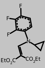 CCOC(=O)C(=CN(c1ccc(F)c(F)c1F)C1CC1)C(=O)OCC